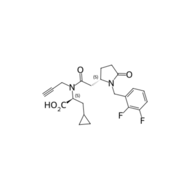 C#CCN(C(=O)C[C@@H]1CCC(=O)N1Cc1cccc(F)c1F)[C@@H](CC1CC1)C(=O)O